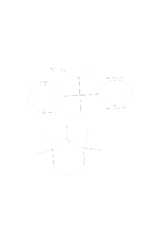 CNC(=O)C(CCN1C(C)(C)CCCC1(C)C)(c1ccccc1)c1ccccc1